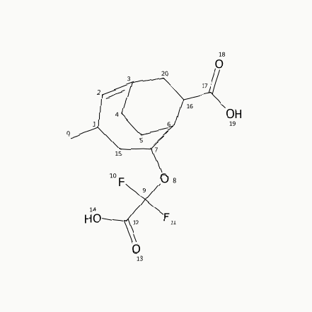 CC1/C=C2\CCC(C(OC(F)(F)C(=O)O)C1)C(C(=O)O)C2